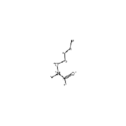 CCCCON(C)C(C)=O